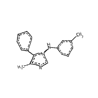 Cc1cccc(Nn2cnc(C)c2-c2ccccc2)c1